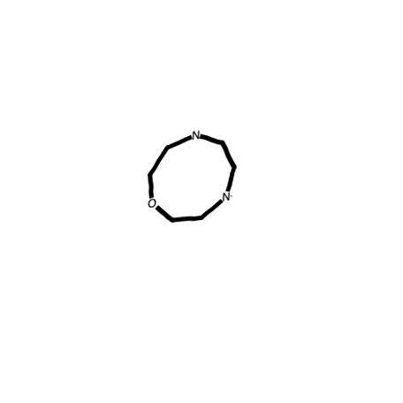 C1C[N]CCOCC[N]1